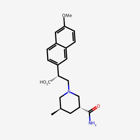 COc1ccc2cc([C@H](CN3C[C@H](C)C[C@@H](C(N)=O)C3)C(=O)O)ccc2c1